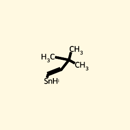 CC(C)(C)C=[CH][SnH]